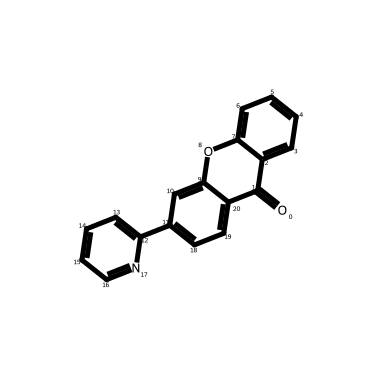 O=c1c2ccccc2oc2cc(-c3ccccn3)ccc12